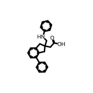 O=C(O)CC1(CNc2ccccc2)Cc2cccc(-c3ccccc3)c2C1